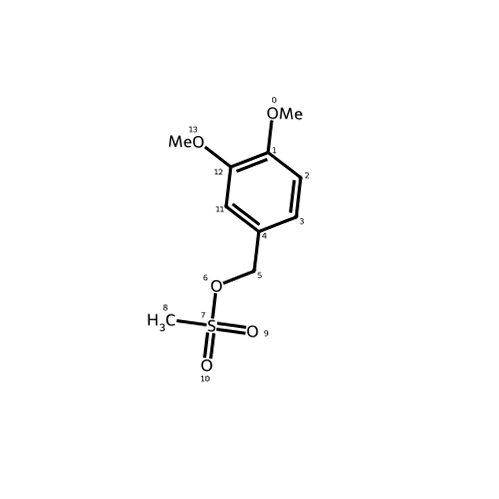 COc1ccc(COS(C)(=O)=O)cc1OC